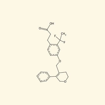 CC(F)(F)c1cc(OCC2=C(c3ccccc3)COCC2)ccc1CCC(=O)O